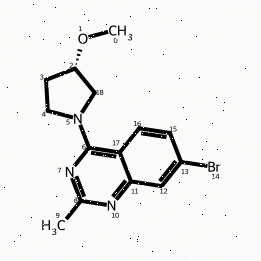 CO[C@H]1CCN(c2nc(C)nc3cc(Br)ccc23)C1